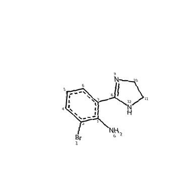 Nc1c(Br)cccc1C1=NCCN1